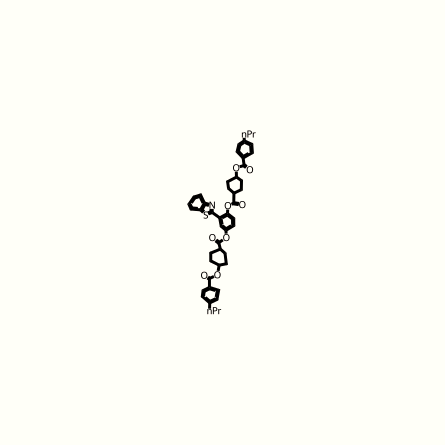 CCCc1ccc(C(=O)OC2CCC(C(=O)Oc3ccc(OC(=O)C4CCC(OC(=O)c5ccc(CCC)cc5)CC4)c(-c4nc5ccccc5s4)c3)CC2)cc1